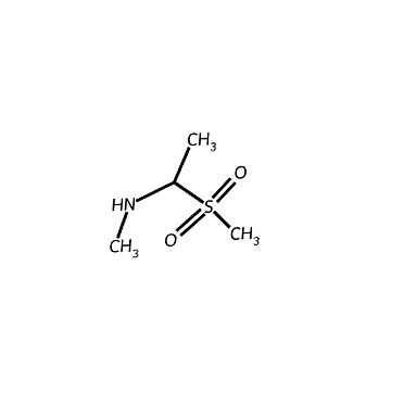 CNC(C)S(C)(=O)=O